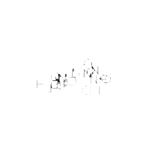 CN(c1cc(C(=O)Cn2c(=N)n(Cc3ccccc3)c3ccccc32)ccc1O)S(C)(=O)=O.Cl